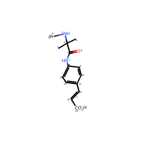 CC(C)NC(C)(C)C(=O)Nc1ccc(/C=C/C(=O)O)cc1